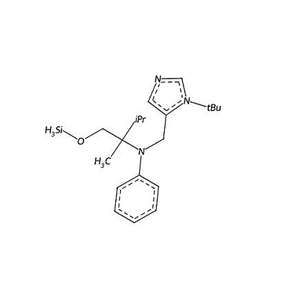 CC(C)C(C)(CO[SiH3])N(Cc1cncn1C(C)(C)C)c1ccccc1